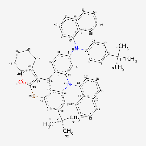 CC(C)(C)c1ccc(N(c2ccc3c(c2)N(c2cccc4ccccc24)c2cc(C(C)(C)C)cc4c2B3c2c(oc3c2CCCC3)S4)c2cccc3ccccc23)cc1